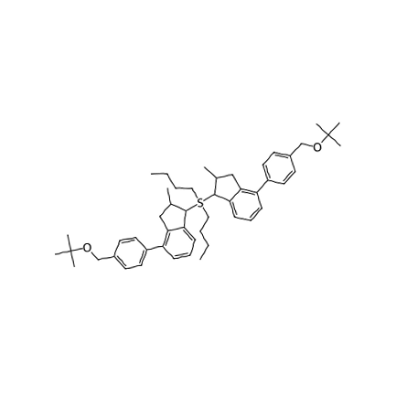 CCCCS(CCCC)(C1c2cccc(-c3ccc(COC(C)(C)C)cc3)c2CC1C)C1c2cccc(-c3ccc(COC(C)(C)C)cc3)c2CC1C